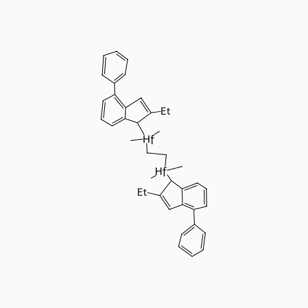 CCC1=Cc2c(-c3ccccc3)cccc2[CH]1[Hf]([CH3])([CH3])[CH2][CH2][Hf]([CH3])([CH3])[CH]1C(CC)=Cc2c(-c3ccccc3)cccc21